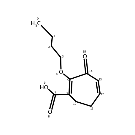 CCCCOC1=C(C(=O)O)CCC=CC1=O